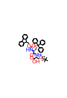 C[C@@H](O[Si](C)(C)C(C)(C)C)[C@H](NC(=O)[C@H](CSC(c1ccccc1)(c1ccccc1)c1ccccc1)NC(=O)OCC1c2ccccc2-c2ccccc21)C(=O)O